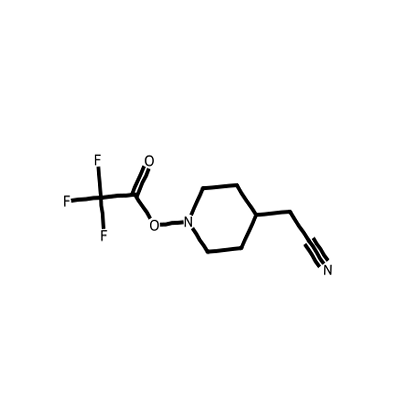 N#CCC1CCN(OC(=O)C(F)(F)F)CC1